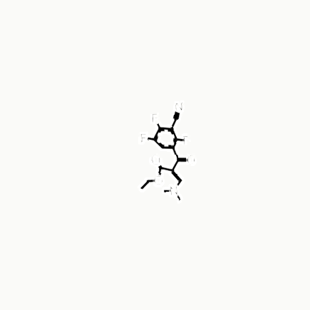 CCOC(=O)C(=CN(C)C)C(=O)c1cc(F)c(F)c(C#N)c1F